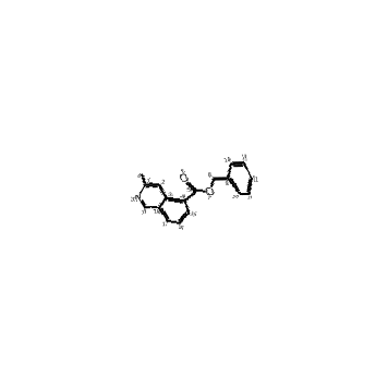 Cc1cc2c(C(=O)OCc3ccccc3)cccc2cn1